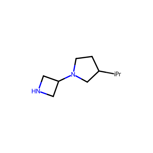 CC(C)C1CCN(C2CNC2)C1